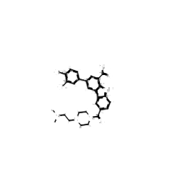 CN(C)CCN1CCN(C(=O)c2ccc3[nH]c4c(C(N)=O)cc(-c5ccc(Cl)c(Cl)c5)cc4c3c2)CC1